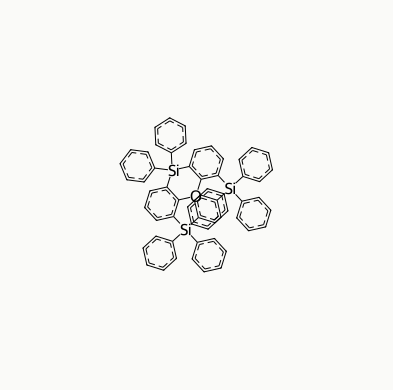 c1ccc([Si](c2ccccc2)(c2ccccc2)c2cccc3c2Oc2c([Si](c4ccccc4)(c4ccccc4)c4ccccc4)cccc2[Si]3(c2ccccc2)c2ccccc2)cc1